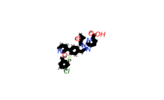 O=C(O)c1ccc2nc(CC3CC=C(c4cccnc4OCc4ccc(Cl)cc4F)CC3)n(CC3CCO3)c2n1